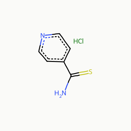 Cl.NC(=S)c1ccncc1